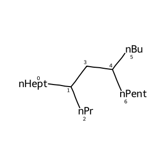 CCCCCCCC(CCC)CC(CCCC)CCCCC